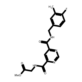 COC(=O)CNC(=O)c1cc(C(=O)NCc2ccc(F)c(C)c2)ncn1